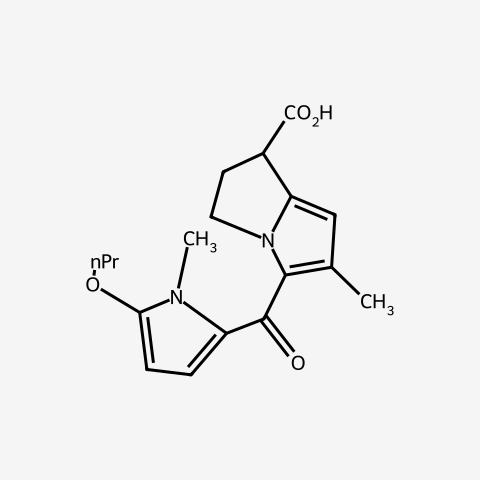 CCCOc1ccc(C(=O)c2c(C)cc3n2CCC3C(=O)O)n1C